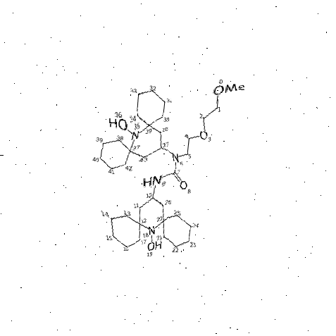 COCCOCCN(C(=O)NC1CC2(CCCCC2)N(O)C2(CCCCC2)C1)C1CC2(CCCCC2)N(O)C2(CCCCC2)C1